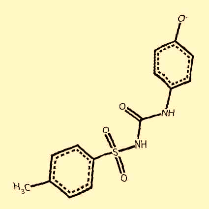 Cc1ccc(S(=O)(=O)NC(=O)Nc2ccc([O])cc2)cc1